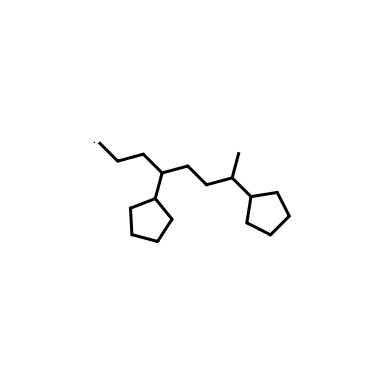 [CH2]CCC(CCC(C)C1CCCC1)C1CCCC1